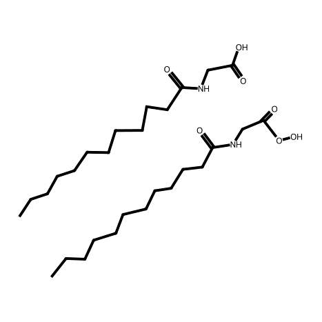 CCCCCCCCCCCC(=O)NCC(=O)O.CCCCCCCCCCCC(=O)NCC(=O)OO